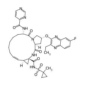 CCc1nc2ccc(F)cc2nc1O[C@@H]1C[C@H]2C(=O)N[C@]3(C(=O)NS(=O)(=O)C4(C)CC4)C[C@H]3C=CCCCCC[C@H](NC(=O)c3ccncn3)C(=O)N2C1